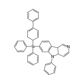 C1=CC2C(C=N1)c1ccc([Si](c3ccccc3)(c3ccccc3)C3C=CC(c4ccccc4)=CC3)cc1N2c1ccccc1